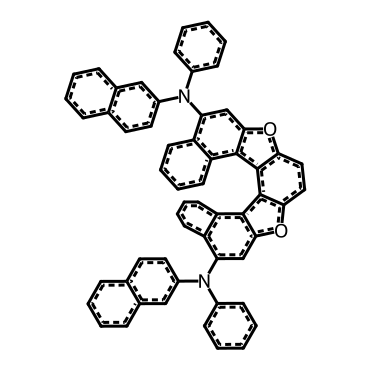 c1ccc(N(c2ccc3ccccc3c2)c2cc3oc4ccc5oc6cc(N(c7ccccc7)c7ccc8ccccc8c7)c7ccccc7c6c5c4c3c3ccccc23)cc1